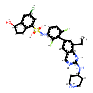 CCc1cc(-c2c(F)ccc(NS(=O)(=O)c3cc(Cl)cc4c3CC[C@H]4O)c2F)cc2cnc(NC3CCNCC3)nc12